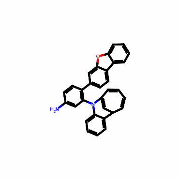 Nc1ccc(-c2ccc3c(c2)oc2ccccc23)c(N2C3=CC(C=CC=C3)c3ccccc32)c1